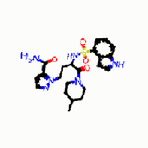 CC1CCN(C(=O)C(CCn2nccc2C(N)=O)NS(=O)(=O)c2cccc3[nH]ccc23)CC1